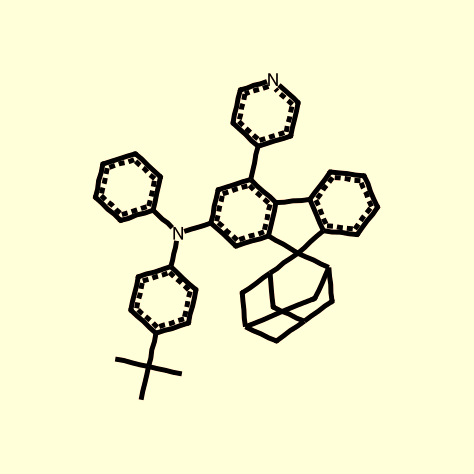 CC(C)(C)c1ccc(N(c2ccccc2)c2cc(-c3ccncc3)c3c(c2)C2(c4ccccc4-3)C3CC4CC(C3)CC2C4)cc1